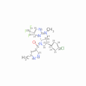 Cc1cc(C(=O)N2C[C@@H](CN(C)c3ncc(C(F)(F)F)cn3)[C@@H](c3ccc(Cl)cc3)C2)cnn1